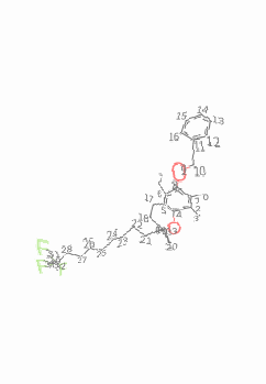 Cc1c(C)c2c(c(C)c1OCc1ccccc1)CC[C@@](C)(CCCCCCCCC(F)(F)F)O2